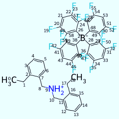 CCc1ccccc1C[NH2+]Cc1ccccc1CC.Fc1cc(F)c(F)c([B-](c2c(F)c(F)cc(F)c2F)(c2c(F)c(F)cc(F)c2F)c2c(F)c(F)cc(F)c2F)c1F